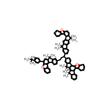 CC(C)(C)c1ccc(-c2cc3c(c4c2oc2ccccc24)-c2ccc(CCC(c4ccc5c(c4)C(C)(C)c4cc6c(cc4-5)C(C)(C)c4ccc5oc7ccccc7c5c4-6)c4ccc5c(c4)C(C)(C)c4c6c(c7c(oc8ccccc87)c4-5)-c4ccccc4C6(C)C)cc2C3(C)C)cc1